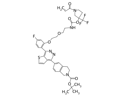 C=CC(=O)N1CCC(OC(=O)NCCOCCOc2cc(F)ccc2-c2nnc(-c3ccc4c(c3)CCN(C(=O)OC(C)(C)C)C4)c3ccsc23)(C(F)(F)F)C1